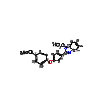 COc1ccc(Oc2ccc(-c3nc4ccccc4n3C(=O)O)cc2)cc1